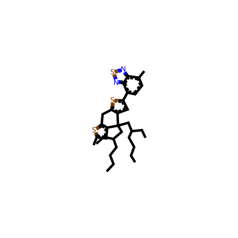 CCCCC(CC)CC1(CC(CC)CCCC)c2cc(C)sc2Cc2sc(-c3ccc(C)c4nsnc34)cc21